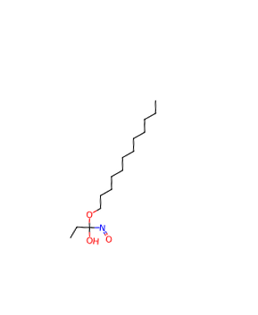 CCCCCCCCCCCCOC(O)(CC)N=O